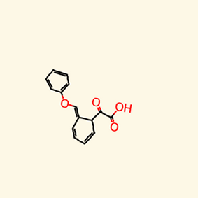 O=C(O)C(=O)C1C=CC=CC1=COc1ccccc1